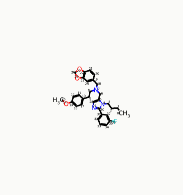 CCCCn1c(CN(CCc2ccc(OC)cc2)Cc2ccc3c(c2)OCO3)cnc1-c1cccc(F)c1